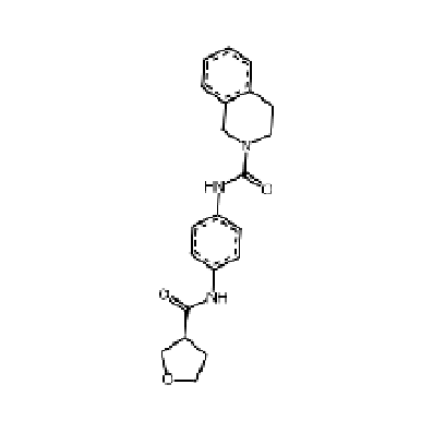 O=C(Nc1ccc(NC(=O)N2CCc3ccccc3C2)cc1)[C@H]1CCOC1